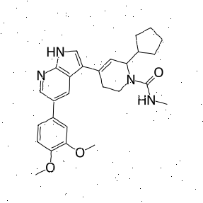 CNC(=O)N1CCC(c2c[nH]c3ncc(-c4ccc(OC)c(OC)c4)cc23)=CC1C1CCCC1